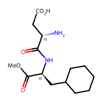 COC(=O)[C@H](CC1CCCCC1)NC(=O)[C@@H](N)CC(=O)O